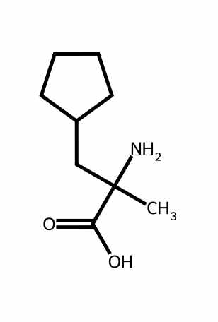 CC(N)(CC1CCCC1)C(=O)O